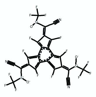 N#CC(=C1C(F)=c2c3c(c4c(c2=C1F)=C(F)C(=C(C#N)[S+]([O-])C(F)(F)F)C=4F)=C(F)C(=C(C#N)[S+]([O-])C(F)(F)F)C=3F)[S+]([O-])C(F)(F)F